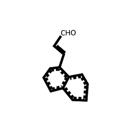 O=CC=Cc1cccc2ccccc12